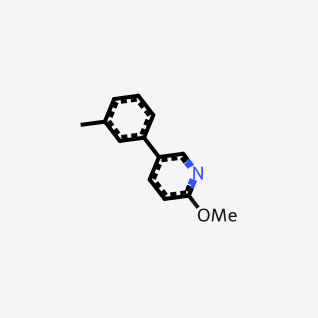 COc1ccc(-c2cccc(C)c2)cn1